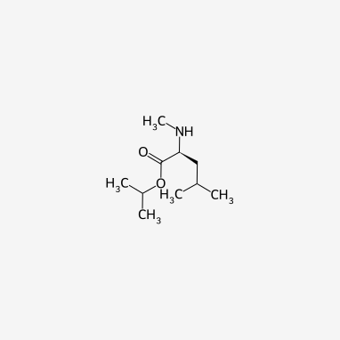 CN[C@@H](CC(C)C)C(=O)OC(C)C